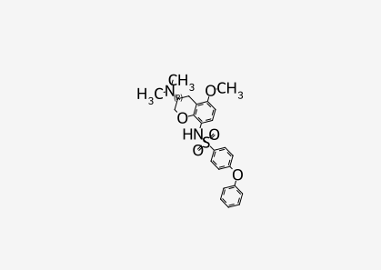 COc1ccc(NS(=O)(=O)c2ccc(Oc3ccccc3)cc2)c2c1C[C@@H](N(C)C)CO2